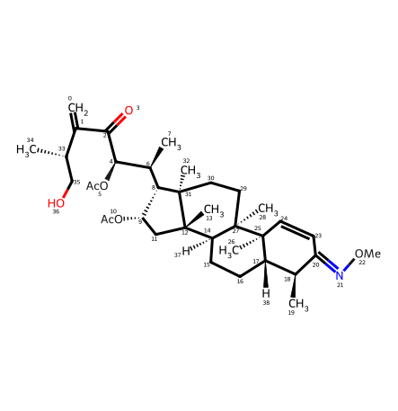 C=C(C(=O)[C@H](OC(C)=O)[C@@H](C)[C@H]1[C@@H](OC(C)=O)C[C@@]2(C)[C@@H]3CC[C@H]4[C@H](C)/C(=N/OC)C=C[C@]4(C)[C@]3(C)CC[C@]12C)[C@@H](C)CO